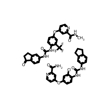 CNC(=O)c1cc(Oc2ccc(NC(=O)Nc3ccc4c(c3)CCC4=O)c(C(F)(F)F)c2)ccn1.NC(=O)c1cc(Oc2ccc(NC(=O)Nc3ccc4c(c3)CCC4)c(Cl)c2)ccn1